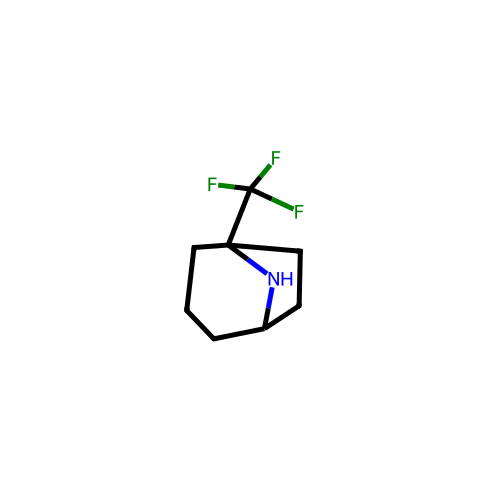 FC(F)(F)C12CCCC(CC1)N2